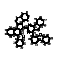 c1ccc2c(c1)ccc1c3c4ccccc4c4c5ccccc5oc4c3n(-c3nc(-c4cccc5c4oc4ccccc45)c4sc5ccccc5c4n3)c21